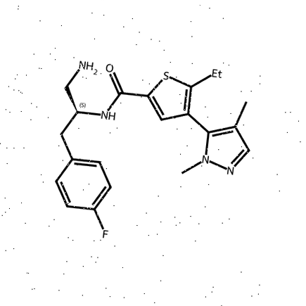 CCc1sc(C(=O)N[C@H](CN)Cc2ccc(F)cc2)cc1-c1c(C)cnn1C